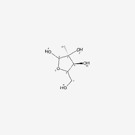 C[C@@]1(O)C(O)OC(CO)[C@@H]1O